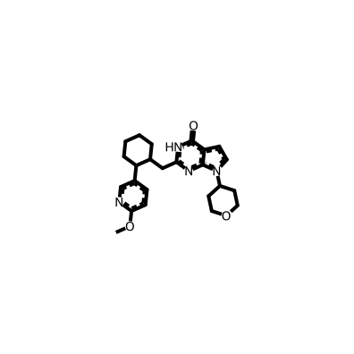 COc1ccc(C2CCCCC2Cc2nc3c(ccn3C3CCOCC3)c(=O)[nH]2)cn1